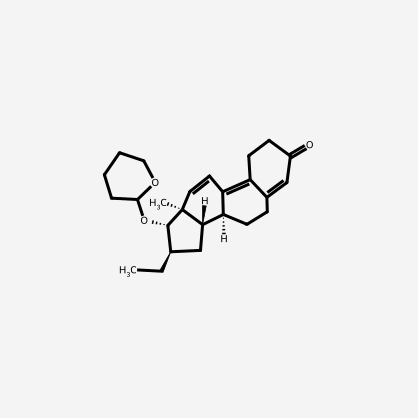 CC[C@@H]1C[C@H]2[C@@H]3CCC4=CC(=O)CCC4=C3C=C[C@]2(C)[C@H]1OC1CCCCO1